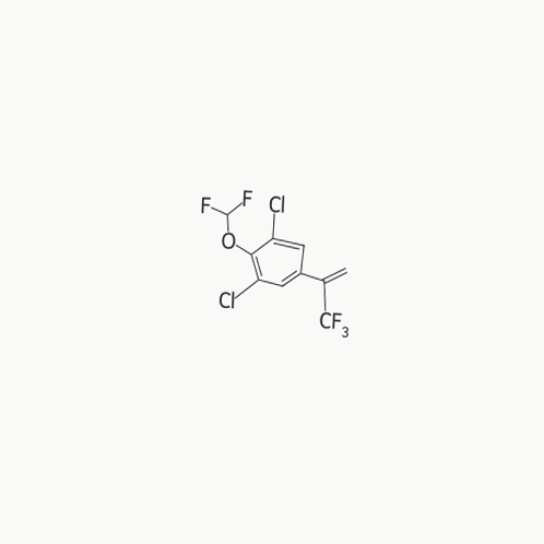 C=C(c1cc(Cl)c(OC(F)F)c(Cl)c1)C(F)(F)F